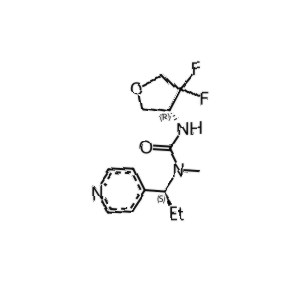 CC[C@@H](c1ccncc1)N(C)C(=O)N[C@@H]1COCC1(F)F